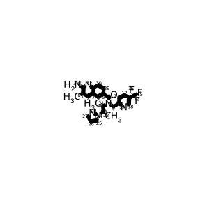 Cc1cc2cc(C(=O)N(Cc3ccc(C(F)(F)F)cn3)[C@@H](C)[C@H](C)n3cccn3)ccc2nc1N